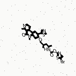 Cc1nccc2c1c(=O)n(C)c1cc(OCC(C)CC(C)NC(=O)Oc3ncc(Br)s3)c(-c3cncs3)cc21